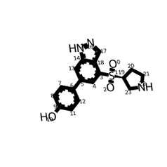 O=S(=O)(c1cc(-c2ccc(O)cc2)cc2[nH]ncc12)[C@H]1CCNC1